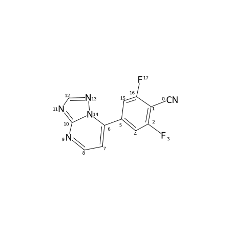 N#Cc1c(F)cc(-c2ccnc3ncnn23)cc1F